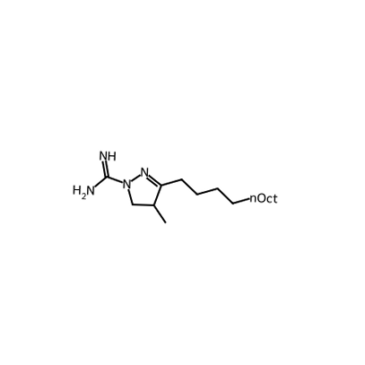 CCCCCCCCCCCCC1=NN(C(=N)N)CC1C